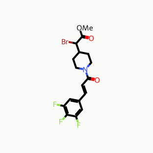 COC(=O)C(Br)C1CCN(C(=O)C=Cc2cc(F)c(F)c(F)c2)CC1